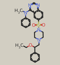 CCOC(CN1CCN(S(=O)(=O)c2ccc3ncnc(N(C)c4ccccc4)c3c2)CC1)c1ccccc1